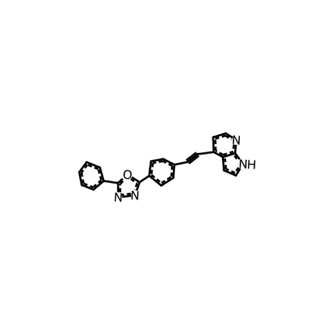 C(#Cc1ccnc2[nH]ccc12)c1ccc(-c2nnc(-c3ccccc3)o2)cc1